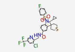 O=C(NCc1ncc(C(F)(F)F)cc1Cl)c1ccc2c(c1)C1(CCSCC1)C(C1CC1)N2S(=O)(=O)c1ccc(F)cc1